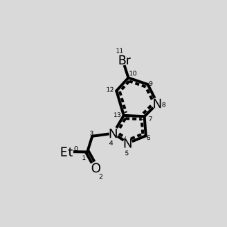 CCC(=O)Cn1ncc2ncc(Br)cc21